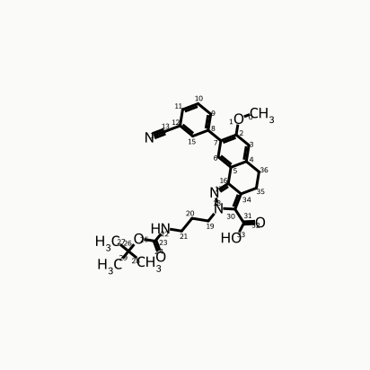 COc1cc2c(cc1-c1cccc(C#N)c1)-c1nn(CCCNC(=O)OC(C)(C)C)c(C(=O)O)c1CC2